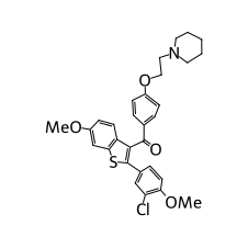 COc1ccc2c(C(=O)c3ccc(OCCN4CCCCC4)cc3)c(-c3ccc(OC)c(Cl)c3)sc2c1